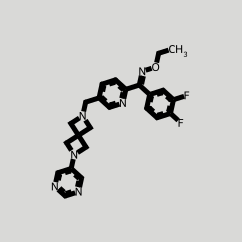 CCO/N=C(\c1ccc(F)c(F)c1)c1ccc(CN2CC3(C2)CN(c2cncnc2)C3)cn1